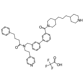 O=C(CCCc1ccccc1)N(CCc1ccncc1)Cc1cccc(-c2cccc(C(=O)N3CCC(CCCC4CCNCC4)CC3)c2)c1.O=C(O)C(F)(F)F